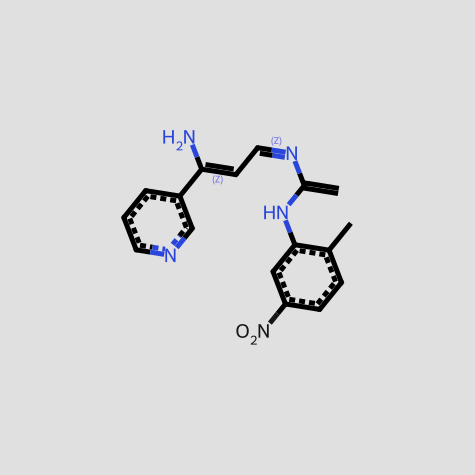 C=C(/N=C\C=C(/N)c1cccnc1)Nc1cc([N+](=O)[O-])ccc1C